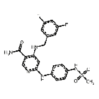 CS(=O)(=O)Nc1ccc(Nc2cc(NCc3cc(F)cc(F)c3)c(C(N)=O)cn2)cc1